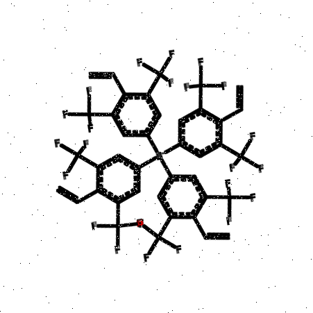 C=Cc1c(C(F)(F)F)cc([B-](c2cc(C(F)(F)F)c(C=C)c(C(F)(F)F)c2)(c2cc(C(F)(F)F)c(C=C)c(C(F)(F)F)c2)c2cc(C(F)(F)F)c(C=C)c(C(F)(F)F)c2)cc1C(F)(F)F